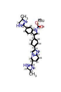 CC1CNC(c2ccc3c(-c4ccc(-c5cn6cc(C7=NC(C)CN7)ccc6n5)cc4)cn(C(=O)OC(C)(C)C)c3c2)=N1